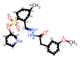 COc1cccc(CC(=O)N/N=C/c2cc(C)ccc2S(=O)(=O)Oc2cccnc2)c1